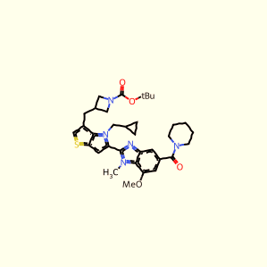 COc1cc(C(=O)N2CCCCC2)cc2nc(-c3cc4scc(CC5CN(C(=O)OC(C)(C)C)C5)c4n3CC3CC3)n(C)c12